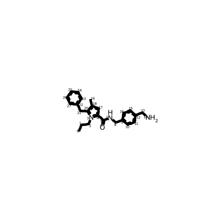 CCCn1c(C(=O)NCc2ccc(CN)cc2)cc(C)c1Cc1ccccc1